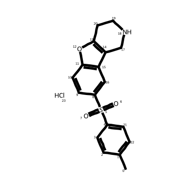 Cc1ccc(S(=O)(=O)c2ccc3oc4c(c3c2)CNCC4)cc1.Cl